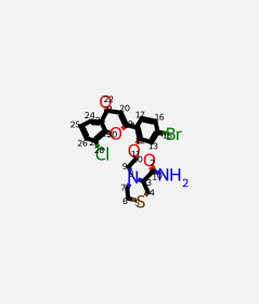 NC(=O)C1CSCCN1CCOc1cc(Br)ccc1-c1cc(=O)c2cccc(Cl)c2o1